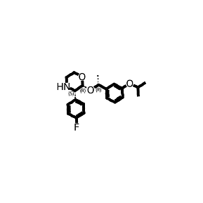 CC(C)Oc1cccc([C@@H](C)O[C@H]2OCCN[C@H]2c2ccc(F)cc2)c1